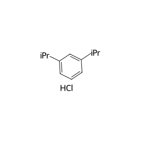 CC(C)c1cccc(C(C)C)c1.Cl